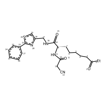 CCC(=O)CCCCC[C@H](NC(=O)CC#N)C(=O)NCc1csc(-c2ccccc2)n1